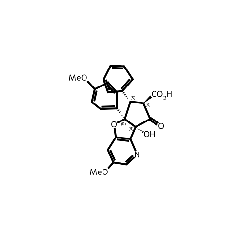 COc1ccc([C@@]23Oc4cc(OC)cnc4[C@]2(O)C(=O)[C@H](C(=O)O)[C@H]3c2ccccc2)cc1